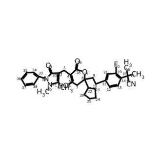 Cc1c(CC2=C(O)CC(CCc3ccc(C(C)(C)C#N)c(F)c3)(C3CCCC3)OC2=O)c(=O)n(-c2ccccc2)n1C